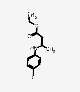 CCOC(=O)/C=C(/C)Nc1ccc(Cl)cc1